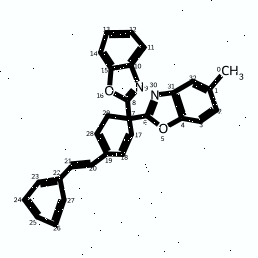 Cc1ccc2oc(C3(c4nc5ccccc5o4)C=CC(C=Cc4ccccc4)=CC3)nc2c1